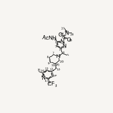 CC(=O)Nc1cc(C(C)N2CCC[C@H](Cc3cc(C)nc(C(F)(F)F)c3)C2)nn1S(=O)(=O)N(C)C